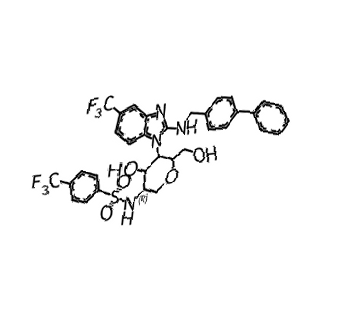 O=S(=O)(N[C@@H]1COC(CO)C(n2c(NCc3ccc(-c4ccccc4)cc3)nc3cc(C(F)(F)F)ccc32)C1O)c1ccc(C(F)(F)F)cc1